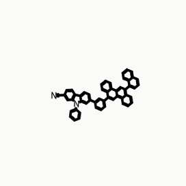 N#Cc1ccc2c3ccc(-c4cccc(-c5cc6c7ccccc7c(-c7cccc8ccccc78)cc6c6ccccc56)c4)cc3n(-c3ccccc3)c2c1